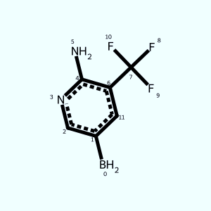 Bc1cnc(N)c(C(F)(F)F)c1